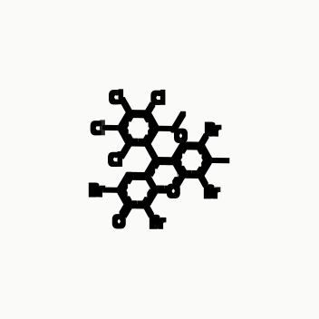 CC(=O)c1c(Cl)c(Cl)c(Cl)c(Cl)c1-c1c2cc(Br)c(=O)c(Br)c-2oc2c(Br)c(C)c(Br)cc12